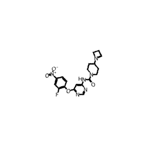 O=C(Nc1cc(Oc2ccc([N+](=O)[O-])cc2F)ncn1)N1CCC(N2CCC2)CC1